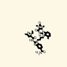 CCn1nc(C)cc1C(=O)Nc1nc2cc(C(N)=O)ccc2n1CCCCn1c(NC(=O)c2cn(C)c(=O)n2C)nc2cccc(C)c21